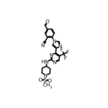 CS(=O)(=O)N1CCC(Nc2ncc(C(F)(F)F)c(-c3cn(-c4ccc(C=O)cc4C#N)cn3)n2)CC1